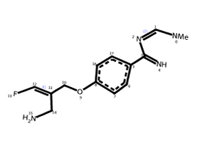 CN/C=N\C(=N)c1ccc(OC/C(=C/F)CN)cc1